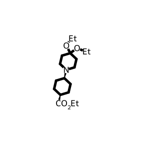 CCOC(=O)[C@H]1CC[C@@H](N2CCC(OCC)(OCC)CC2)CC1